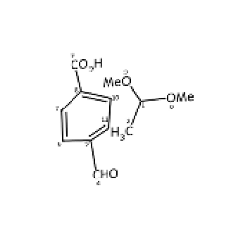 COC(C)OC.O=Cc1ccc(C(=O)O)cc1